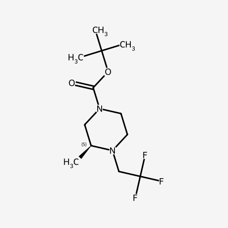 C[C@H]1CN(C(=O)OC(C)(C)C)CCN1CC(F)(F)F